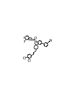 N#Cc1cccc(-c2ccc3c(c2)C2(CCN(CC=Cc4ccc(Cl)c(Cl)c4)CC2)CN3C(=O)NCc2ccnc(F)c2)c1